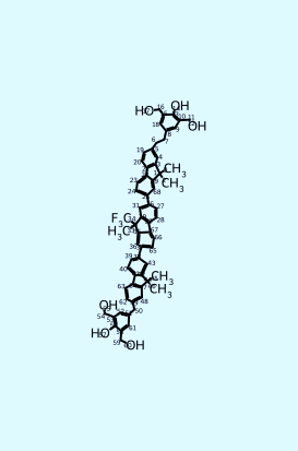 CC1(C)c2cc(CCc3cc(CO)c(O)c(CO)c3)ccc2-c2ccc(-c3ccc4c(c3)C(C)(C(F)(F)F)c3cc(-c5ccc6c(c5)C(C)(C)c5cc(Cc7cc(CO)c(O)c(CO)c7)ccc5-6)ccc3-4)cc21